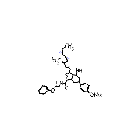 C=C(/C=C\C=C/C)CSC1SC(C(=O)NCCOc2ccccc2)=C2CC(c3ccc(OC)cc3)CC(=N)C21